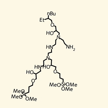 CCCCC(CC)COCC(O)CN(CCN)CCNCCN(CCNCC(O)COCCC[Si](OC)(OC)OC)CC(O)COCCC[Si](OC)(OC)OC